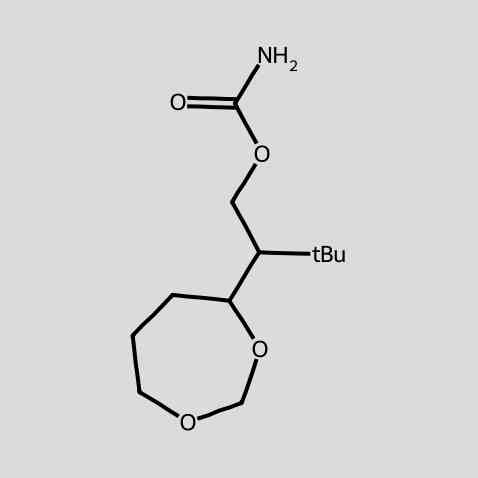 CC(C)(C)C(COC(N)=O)C1CCCOCO1